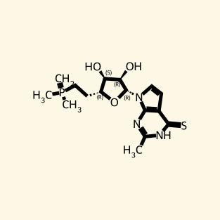 C=P(C)(C)CC[C@H]1O[C@@H](n2ccc3c(=S)[nH]c(C)nc32)[C@H](O)[C@@H]1O